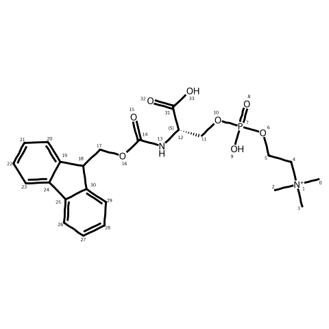 C[N+](C)(C)CCOP(=O)(O)OC[C@H](NC(=O)OCC1c2ccccc2-c2ccccc21)C(=O)O